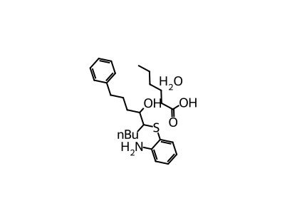 CCCCC(Sc1ccccc1N)C(O)CCCc1ccccc1.CCCCCC(=O)O.O